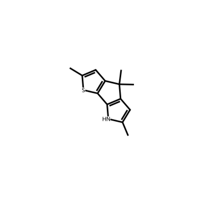 Cc1cc2c([nH]1)-c1sc(C)cc1C2(C)C